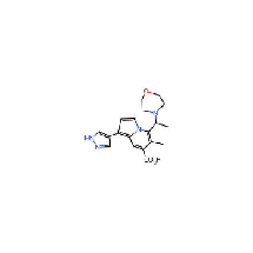 Cc1c(C(=O)O)cc2c(-c3cn[nH]c3)ccn2c1C(C)N1CCOCC1